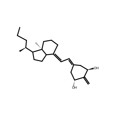 C=C1[C@H](O)CC(=C/C=C2\CCC[C@@]3(C)C2CCC3[C@@H](C)CCC)C[C@H]1O